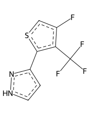 Fc1csc(-c2cc[nH]n2)c1C(F)(F)F